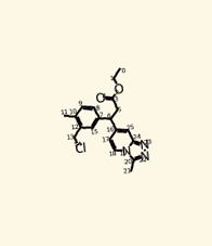 CCOC(=O)CC(c1ccc(C)c(CCl)c1)c1ccn2c(C)nnc2c1